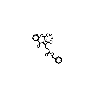 CC(=O)N1C(=O)C(CCC(=O)OCc2ccccc2)C1C(=O)c1ccccc1